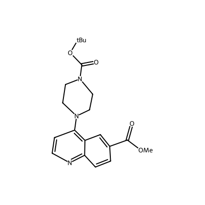 COC(=O)c1ccc2nccc(N3CCN(C(=O)OC(C)(C)C)CC3)c2c1